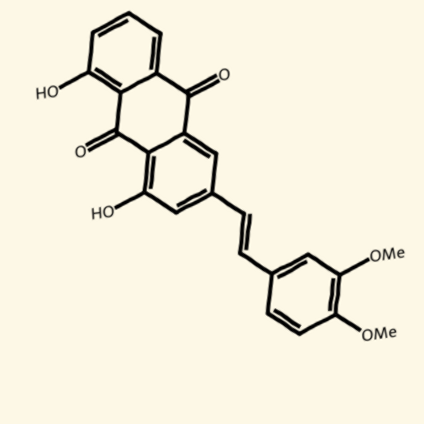 COc1ccc(C=Cc2cc(O)c3c(c2)C(=O)c2cccc(O)c2C3=O)cc1OC